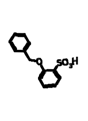 O=S(=O)(O)c1ccccc1OCc1ccccc1